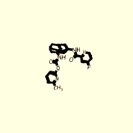 Cc1cccc(OC(=O)NC23CC4CC(C2)CC(NC(=O)c2cc(F)ccn2)(C4)C3)n1